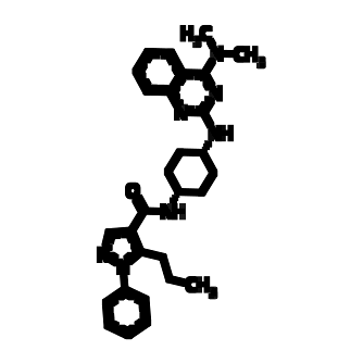 CCCc1c(C(=O)N[C@H]2CC[C@@H](Nc3nc(N(C)C)c4ccccc4n3)CC2)cnn1-c1ccccc1